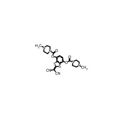 [C-]#[N+]C(C#N)=C1Sc2c(OC(=O)N3CCN(C)CC3)ccc(OC(=O)N3CCN(C)CC3)c2S1